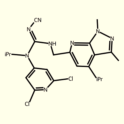 Cc1nn(C)c2nc(CN/C(=N\C#N)N(c3cc(Cl)nc(Cl)c3)C(C)C)cc(C(C)C)c12